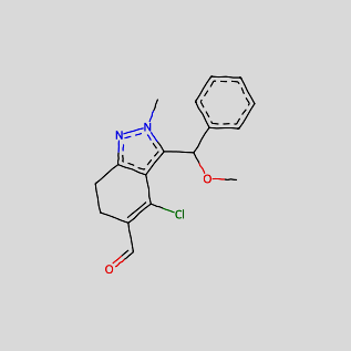 COC(c1ccccc1)c1c2c(nn1C)CCC(C=O)=C2Cl